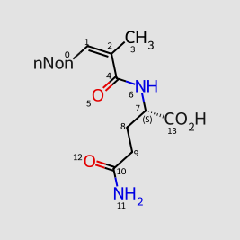 CCCCCCCCCC=C(C)C(=O)N[C@@H](CCC(N)=O)C(=O)O